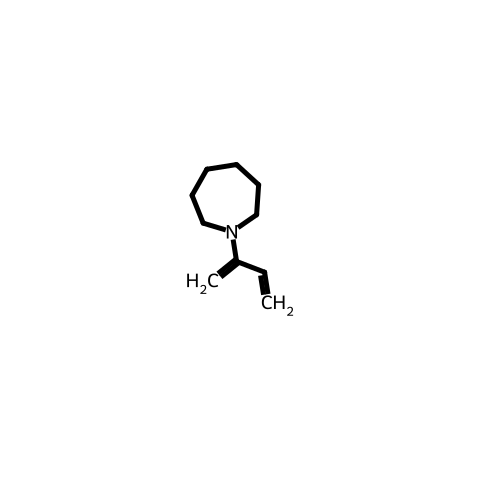 C=CC(=C)N1CCCCCC1